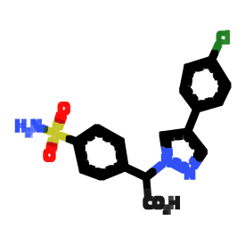 NS(=O)(=O)c1ccc(C(C(=O)O)n2cc(-c3ccc(Cl)cc3)cn2)cc1